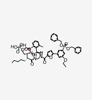 CCCCC[C@@H](C(=O)NCNC(=O)c1ccc(-c2cc(OCC)cc(P(=O)(OCc3ccccc3)OCc3ccccc3)c2)o1)[C@@H](CC)N(C=O)OC(=O)c1c(C)cccc1OCOP(=O)(O)O